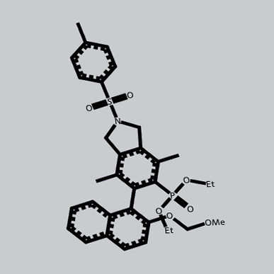 CCOP(=O)(OCC)c1c(C)c2c(c(C)c1-c1c(OCOC)ccc3ccccc13)CN(S(=O)(=O)c1ccc(C)cc1)C2